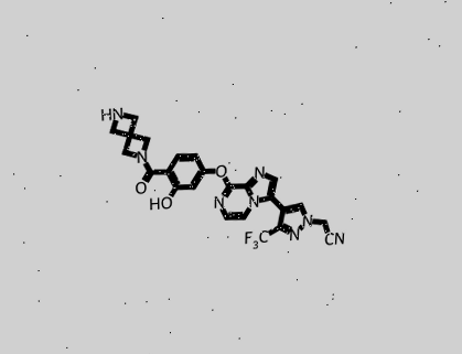 N#CCn1cc(-c2cnc3c(Oc4ccc(C(=O)N5CC6(CNC6)C5)c(O)c4)nccn23)c(C(F)(F)F)n1